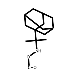 CC(C)(NOC=O)C12CC3CC(CC(C3)C1)C2